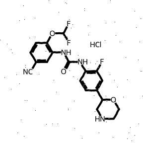 Cl.N#Cc1ccc(OC(F)F)c(NC(=O)Nc2ccc(C3CNCCO3)cc2F)c1